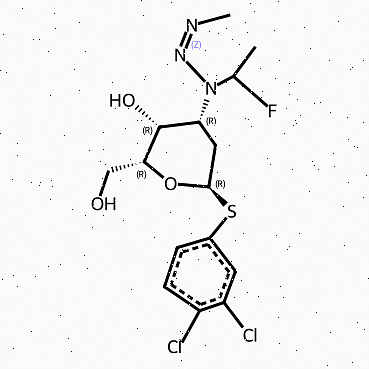 C/N=N\N(C(C)F)[C@@H]1C[C@@H](Sc2ccc(Cl)c(Cl)c2)O[C@H](CO)[C@@H]1O